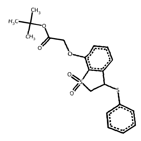 CC(C)(C)OC(=O)COc1cccc2c1S(=O)(=O)CC2Sc1ccccc1